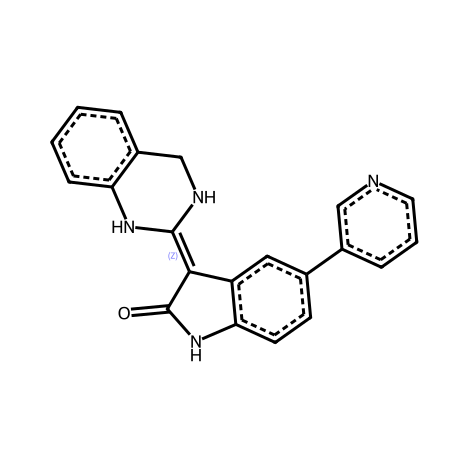 O=C1Nc2ccc(-c3cccnc3)cc2/C1=C1\NCc2ccccc2N1